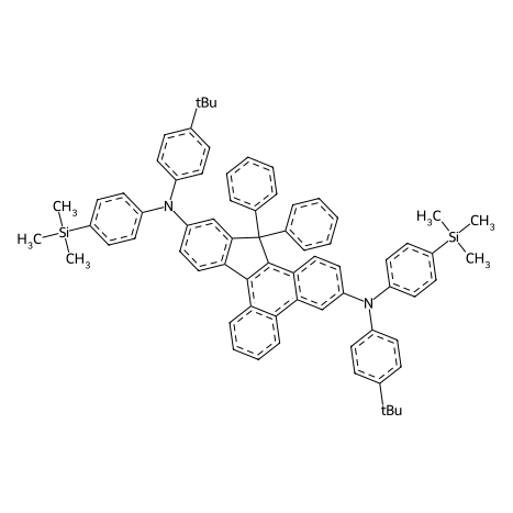 CC(C)(C)c1ccc(N(c2ccc([Si](C)(C)C)cc2)c2ccc3c(c2)C(c2ccccc2)(c2ccccc2)c2c-3c3ccccc3c3cc(N(c4ccc(C(C)(C)C)cc4)c4ccc([Si](C)(C)C)cc4)ccc23)cc1